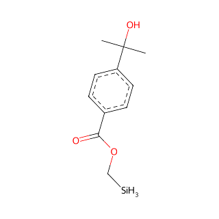 CC(C)(O)c1ccc(C(=O)OC[SiH3])cc1